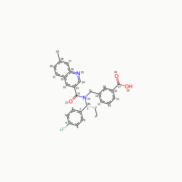 CC[C@H](c1ccc(F)cc1)N(Cc1cccc(C(=O)O)c1)C(=O)c1cnc2cc(C)ccc2c1